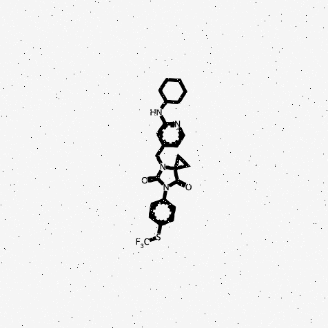 O=C1N(c2ccc(SC(F)(F)F)cc2)C(=O)C2(CC2)N1Cc1ccnc(NC2CCCCC2)c1